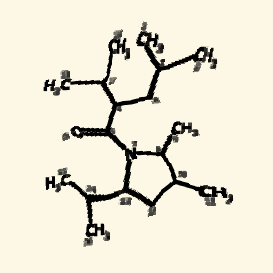 CC(C)CC(C(=O)N1C(C)C(C)C[C@H]1C(C)C)C(C)C